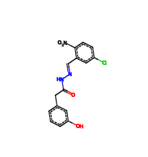 O=C(Cc1cccc(O)c1)N/N=C/c1cc(Cl)ccc1[N+](=O)[O-]